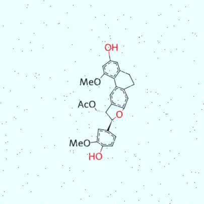 COc1cc([C@@H]2Oc3cc4c(cc3[C@H]2COC(C)=O)-c2c(cc(O)cc2OC)CC4)ccc1O